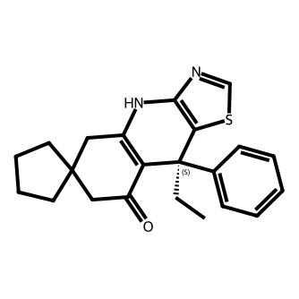 CC[C@]1(c2ccccc2)C2=C(CC3(CCCC3)CC2=O)Nc2ncsc21